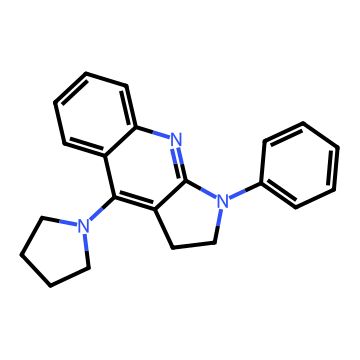 c1ccc(N2CCc3c2nc2ccccc2c3N2CCCC2)cc1